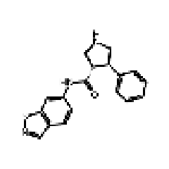 O=C(Nc1ccc2cnsc2c1)[C@@H]1CNC[C@H]1c1ccccc1